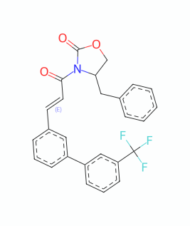 O=C(/C=C/c1cccc(-c2cccc(C(F)(F)F)c2)c1)N1C(=O)OCC1Cc1ccccc1